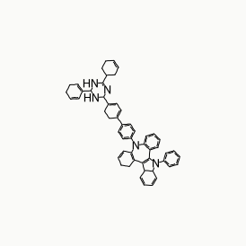 C1=CC2C3=C(c4ccccc4N(c4ccc(C5=CC=C(C6N=C(C7CC=CCC7)NC(C7=CCCC=C7)N6)CC5)cc4)C4=C3CCC=C4)N(c3ccccc3)C2C=C1